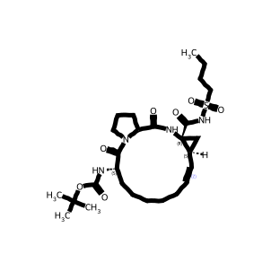 CCCCS(=O)(=O)NC(=O)[C@@]12C[C@H]1/C=C\CCCCC[C@H](NC(=O)OC(C)(C)C)C(=O)N1CCCC1C(=O)N2